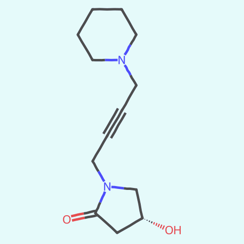 O=C1C[C@@H](O)CN1CC#CCN1CCCCC1